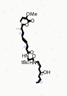 C/C=C\C[C@H](O)C/C=C\NC(=O)[C@@H](NC(=O)/C=C/C#C/C=C/[C@H](C)[C@@H]1CC=C(OC)C(=O)O1)C(C)(C)C